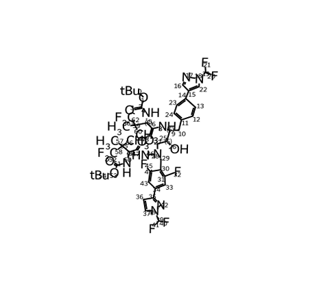 CC(C)(C)OC(=O)N[C@H](C(=O)N[C@@H](Cc1ccc(-c2cnn(C(F)F)c2)cc1)[C@@H](O)CN(Cc1c(F)cc(-c2ccn(C(F)F)n2)cc1F)NC(=O)[C@@H](NC(=O)OC(C)(C)C)C(C)(C)C(F)(F)F)C(C)(C)C(F)(F)F